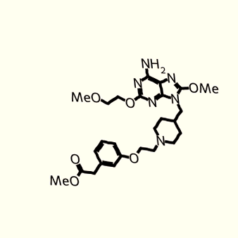 COCCOc1nc(N)c2nc(OC)n(CC3CCN(CCOc4cccc(CC(=O)OC)c4)CC3)c2n1